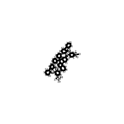 C[Si](C)(C)c1ccc(N(c2ccc3c(c2)C(c2ccccc2)(c2ccccc2)c2cc(N(c4ccc([Si](C)(C)C)cc4)c4cccc5c4oc4ccccc45)c4ccccc4c2-3)c2cccc3c2oc2ccccc23)cc1